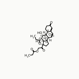 CCC(=O)OCC(=O)[C@]1(OC(=O)CC)CC[C@H]2[C@@H]3C=CC4=CC(=O)CC[C@]4(C)[C@H]3[C@@H](O)C[C@@]21C